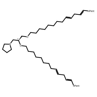 CCCCCC=CCC=CCCCCCCCCOC[C@H](CN1CCCC1)OCCCCCCCCC=CCC=CCCCCC